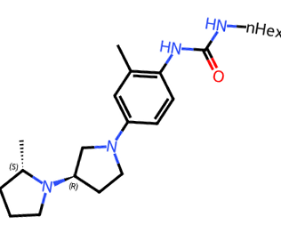 CCCCCCNC(=O)Nc1ccc(N2CC[C@@H](N3CCC[C@@H]3C)C2)cc1C